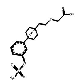 CS(=O)(=O)Oc1cccc(C23CCC(CCOCC(=O)O)(CC2)CO3)c1